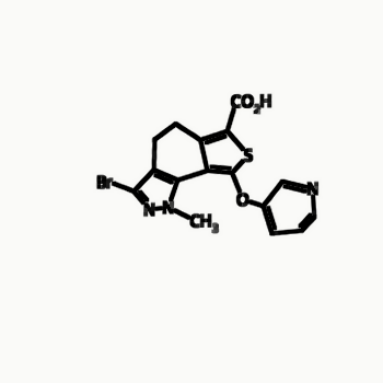 Cn1nc(Br)c2c1-c1c(Oc3cccnc3)sc(C(=O)O)c1CC2